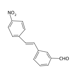 O=Cc1cccc(/C=C/c2ccc([N+](=O)[O-])cc2)c1